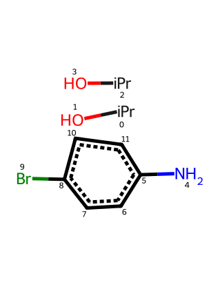 CC(C)O.CC(C)O.Nc1ccc(Br)cc1